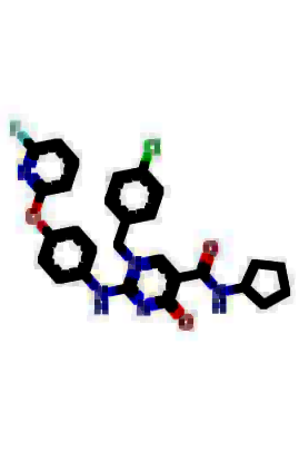 O=C(NC1CCCC1)c1cn(Cc2ccc(Cl)cc2)c(Nc2ccc(Oc3cccc(F)n3)cc2)nc1=O